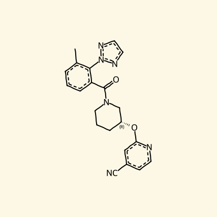 Cc1cccc(C(=O)N2CCC[C@@H](Oc3cc(C#N)ccn3)C2)c1-n1nccn1